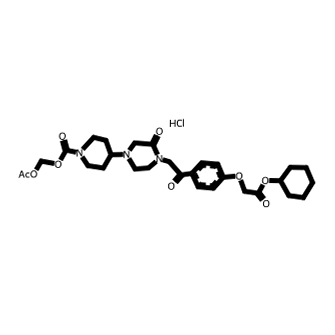 CC(=O)OCOC(=O)N1CCC(N2CCN(CC(=O)c3ccc(OCC(=O)OC4CCCCC4)cc3)C(=O)C2)CC1.Cl